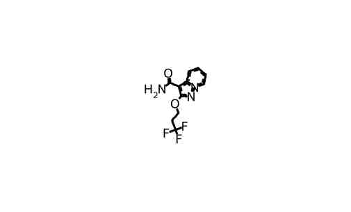 NC(=O)c1c(OCCC(F)(F)F)nn2ccccc12